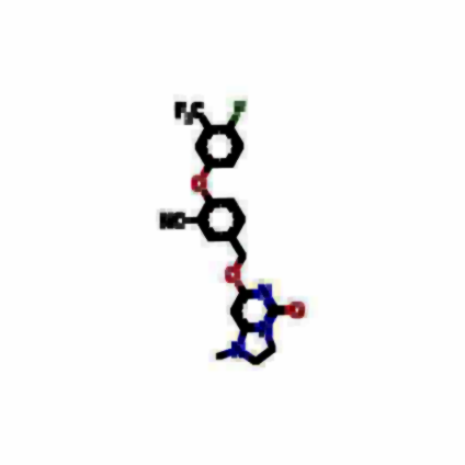 CN1CCn2c1cc(OCc1ccc(Oc3ccc(F)c(C(F)(F)F)c3)c(C#N)c1)nc2=O